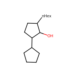 CCCCCCC1CCC(C2CCCC2)C1O